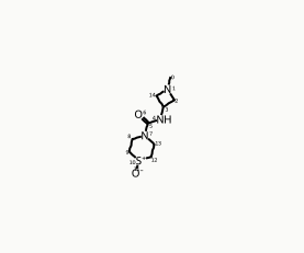 CN1CC(NC(=O)N2CC[S+]([O-])CC2)C1